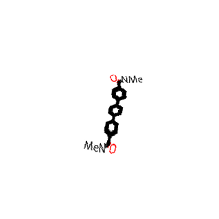 CNC(=O)c1ccc(-c2ccc(-c3ccc(C(=O)NC)cc3)cc2)cc1